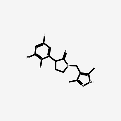 Cc1n[nH]c(C)c1CN1CCC(c2cc(F)cc(F)c2F)C1=O